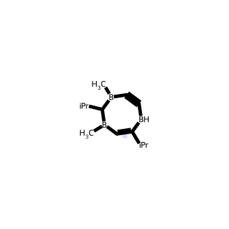 CB1C#CB/C(C(C)C)=C\B(C)C1C(C)C